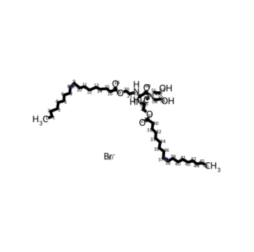 CCCCCCCC/C=C\CCCCCCCC(=O)OCCNC(NCCOC(=O)CCCCCCC/C=C\CCCCCCCC)C(=O)[N+](C)(CCO)CCO.[Br-]